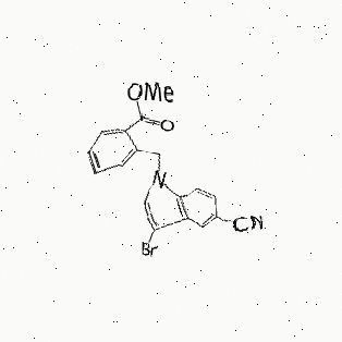 COC(=O)c1ccccc1Cn1cc(Br)c2cc(C#N)ccc21